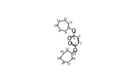 O=C(/C=C\C(=O)OC1CCCCCC1)OC1CCCCCC1